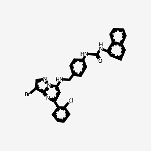 O=C(Nc1ccc(CNc2cc(-c3ccccc3Cl)nc3c(Br)cnn23)cc1)Nc1cccc2ccccc12